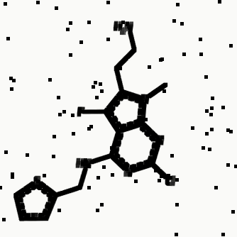 Cn1c(CCN)c(F)c2c(NCc3cccs3)nc(Cl)nc21